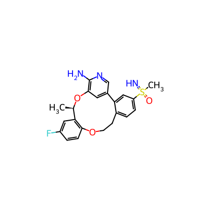 C[C@H]1Oc2cc(cnc2N)-c2cc(S(C)(=N)=O)ccc2CCOc2ccc(F)cc21